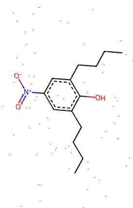 CCCCc1cc([N+](=O)[O-])cc(CCCC)c1O